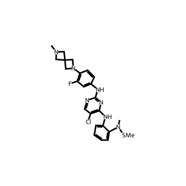 CSN(C)c1ccccc1Nc1nc(Nc2ccc(N3CC4(CN(C)C4)C3)c(F)c2)ncc1Cl